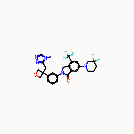 Cn1cnnc1CC1(c2cccc(N3Cc4c(cc(N5CCCC(F)(F)C5)cc4C(F)(F)F)C3=O)c2)COC1